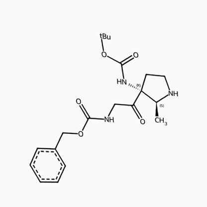 C[C@@H]1NCC[C@]1(NC(=O)OC(C)(C)C)C(=O)CNC(=O)OCc1ccccc1